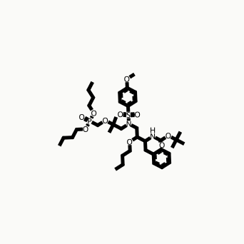 CCCCOC(CN(CC(C)(C)OCP(=O)(OCCCC)OCCCC)S(=O)(=O)c1ccc(OC)cc1)C(Cc1ccccc1)NC(=O)OC(C)(C)C